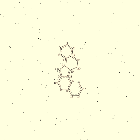 C1=c2ccccc2=C2N=c3ccc4ccccc4c3=C2C1